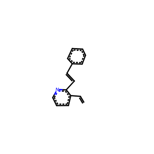 C=Cc1cccnc1C=Cc1ccccc1